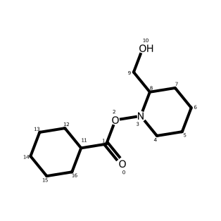 O=C(ON1CCCCC1CO)C1CCCCC1